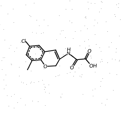 Cc1cc(Cl)cc2c1OCC(NC(=O)C(=O)O)=C2